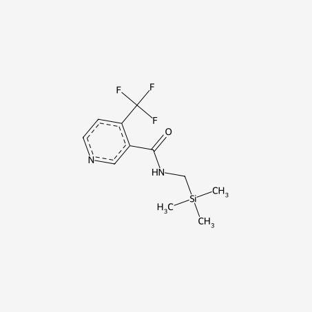 C[Si](C)(C)CNC(=O)c1cnccc1C(F)(F)F